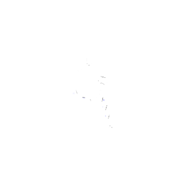 CC(/C=C/C(C)=C/C1Cc2nc(cs2)CCC(N)CC(=O)OCC/C(C)=C/C=C\C(=O)O1)=C\CN(C)C